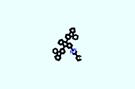 c1ccc(-c2cnc(-c3ccc4c(-c5ccc6c(c5)C5(CCCCC5)c5ccccc5-6)c5ccccc5c(-c5ccc6c(c5)C5(CCCCC5)c5ccccc5-6)c4c3)nc2)cc1